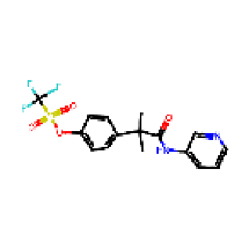 CC(C)(C(=O)Nc1cccnc1)c1ccc(OS(=O)(=O)C(F)(F)F)cc1